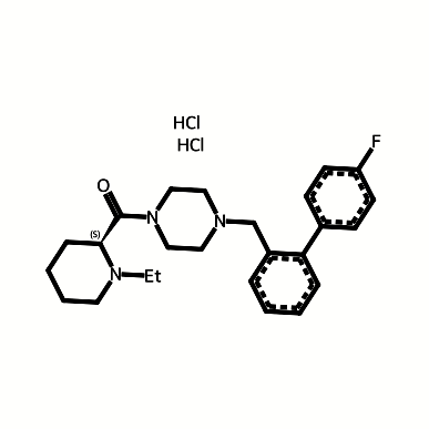 CCN1CCCC[C@H]1C(=O)N1CCN(Cc2ccccc2-c2ccc(F)cc2)CC1.Cl.Cl